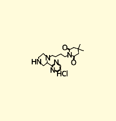 CC1(C)CC(=O)N(CCCCN2CCNCC2c2ncccn2)C(=O)C1.Cl